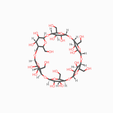 OCC1O[C@@H]2O[C@@H]3C(CO)O[C@H](O[C@@H]4C(CO)O[C@H](O[C@@H]5C(CO)O[C@H](O[C@@H]6C(CO)O[C@H](O[C@@H]7C(CO)O[C@H](O[C@H]1[C@H](O)C2O)C(O)[C@H]7O)C(O)[C@H]6O)C(O)[C@H]5O)C(O)[C@H]4O)C(O)[C@H]3O